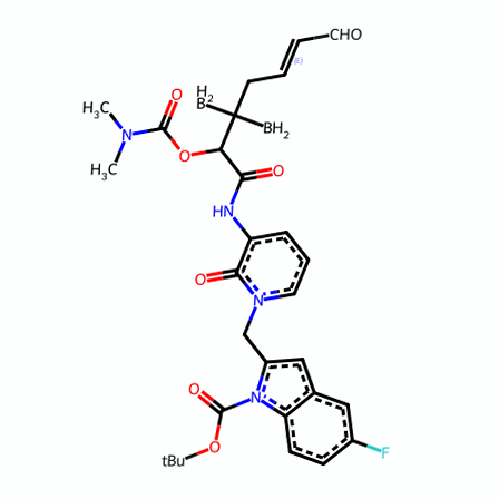 BC(B)(C/C=C/C=O)C(OC(=O)N(C)C)C(=O)Nc1cccn(Cc2cc3cc(F)ccc3n2C(=O)OC(C)(C)C)c1=O